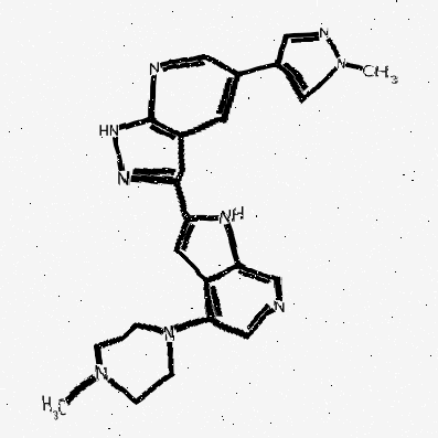 CN1CCN(c2cncc3[nH]c(-c4n[nH]c5ncc(-c6cnn(C)c6)cc45)cc23)CC1